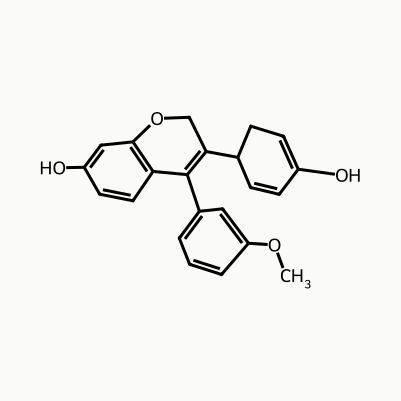 COc1cccc(C2=C(C3C=CC(O)=CC3)COc3cc(O)ccc32)c1